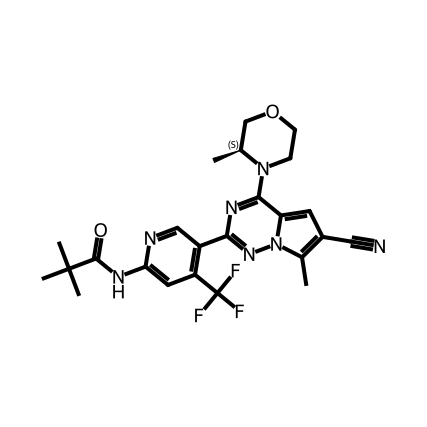 Cc1c(C#N)cc2c(N3CCOC[C@@H]3C)nc(-c3cnc(NC(=O)C(C)(C)C)cc3C(F)(F)F)nn12